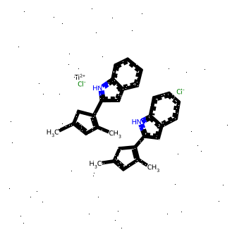 CC1=CC(C)=C(c2cc3ccccc3[nH]2)C1.CC1=CC(C)=C(c2cc3ccccc3[nH]2)C1.[Cl-].[Cl-].[Ti+2]